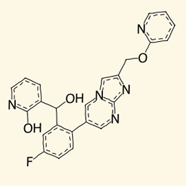 Oc1ncccc1C(O)c1cc(F)ccc1-c1cnc2nc(COc3ccccn3)cn2c1